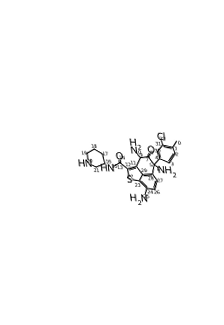 Cc1ccc(C2(N)C(=O)C(N)c3c(C(=O)NC4CCCNC4)sc4c(N)ccc2c34)cc1Cl